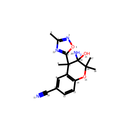 Cc1noc(C2(C)c3cc(C#N)ccc3OC(C)(C)C2(N)O)n1